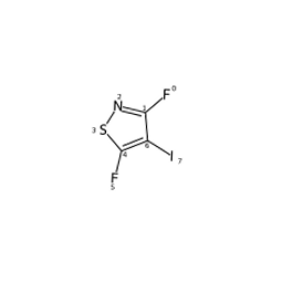 Fc1nsc(F)c1I